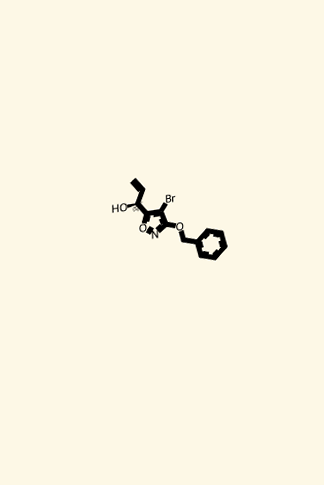 C=C[C@H](O)c1onc(OCc2ccccc2)c1Br